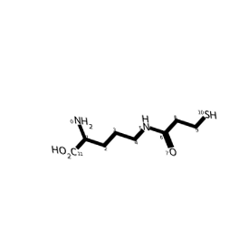 NC(CCCNC(=O)CCS)C(=O)O